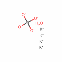 O.[K+].[K+].[K+].[K+].[O-][Si]([O-])([O-])[O-]